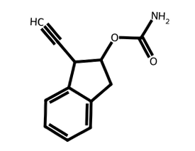 C#CC1c2ccccc2CC1OC(N)=O